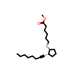 CCCCCCC#C[C@H]1CCC[C@@H]1SCCCCCC(=O)OC